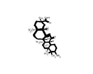 CC1(C)C(N)CC[C@]2(C)[C@H]3C(=O)C=C4[C@H]5C[C@@](C)(C(=O)O)CC[C@]5(C)CC[C@@]4(C)[C@]3(C)CC[C@@H]12